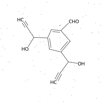 C#CC(O)c1cc(C=O)cc(C(O)C#C)c1